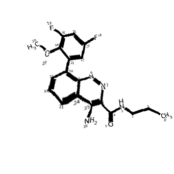 CCCNC(=O)c1nnc2c(-c3cc(F)cc(F)c3OC)cccc2c1N